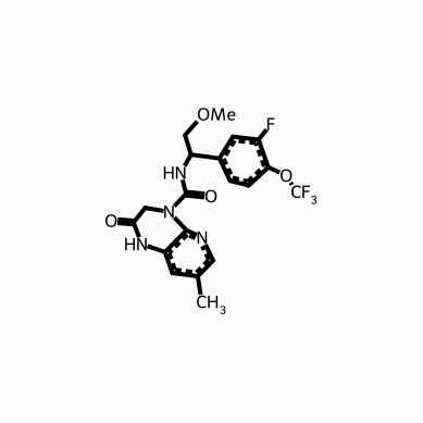 COCC(NC(=O)N1CC(=O)Nc2cc(C)cnc21)c1ccc(OC(F)(F)F)c(F)c1